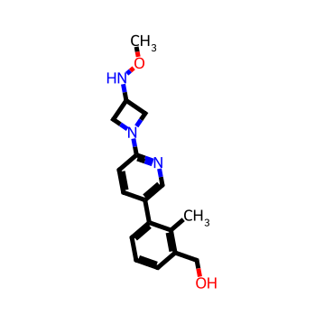 CONC1CN(c2ccc(-c3cccc(CO)c3C)cn2)C1